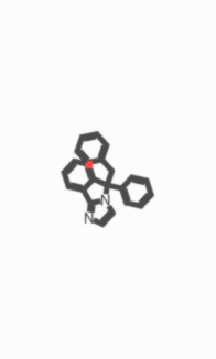 c1ccc(CC2(c3ccccc3)c3ccccc3-c3nccn32)cc1